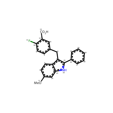 COc1ccc2c(Cc3ccc(F)c(C(=O)O)c3)c(-c3ccccc3)[nH]c2c1